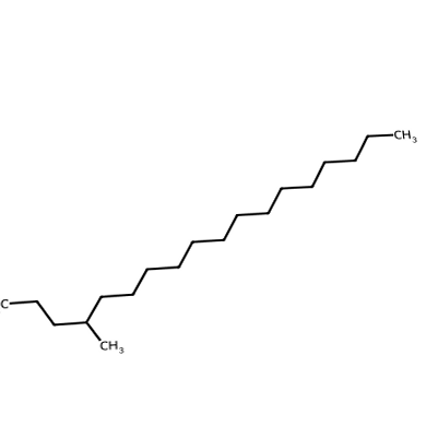 [CH2]CCC(C)CCCCCCCCCCCCCC